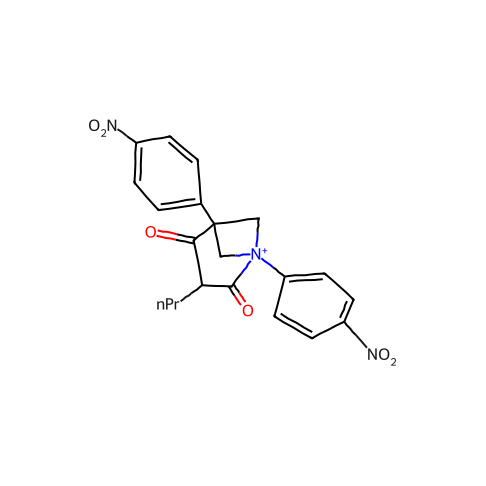 CCCC1C(=O)C2(c3ccc([N+](=O)[O-])cc3)C[N+](c3ccc([N+](=O)[O-])cc3)(C2)C1=O